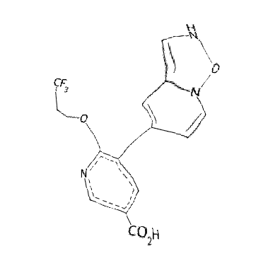 O=C(O)c1cnc(OCC(F)(F)F)c(C2=CC3=CNON3C=C2)c1